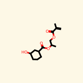 C=C(C)C(=O)OCC(C)OC(=O)C1CCCC(O)C1